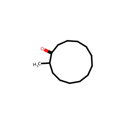 CC1CCCCCCCCCCCC1=O